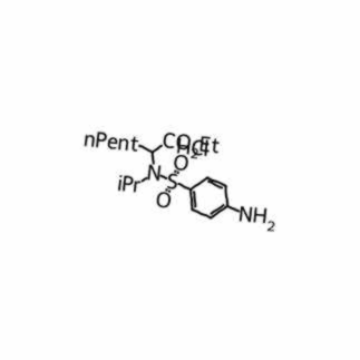 CCCCCC(C(=O)OCC)N(C(C)C)S(=O)(=O)c1ccc(N)cc1.Cl